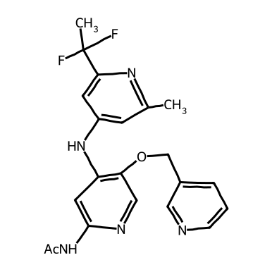 CC(=O)Nc1cc(Nc2cc(C)nc(C(C)(F)F)c2)c(OCc2cccnc2)cn1